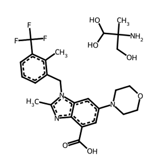 CC(N)(CO)C(O)O.Cc1c(Cn2c(C)nc3c(C(=O)O)cc(N4CCOCC4)cc32)cccc1C(F)(F)F